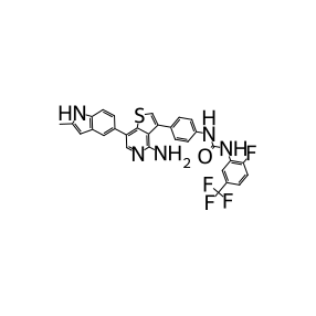 Cc1cc2cc(-c3cnc(N)c4c(-c5ccc(NC(=O)Nc6cc(C(F)(F)F)ccc6F)cc5)csc34)ccc2[nH]1